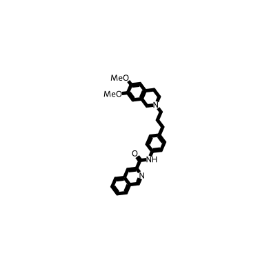 COc1cc2c(cc1OC)CN(CCCc1ccc(NC(=O)c3cc4ccccc4cn3)cc1)CC2